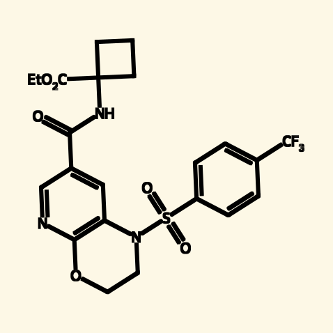 CCOC(=O)C1(NC(=O)c2cnc3c(c2)N(S(=O)(=O)c2ccc(C(F)(F)F)cc2)CCO3)CCC1